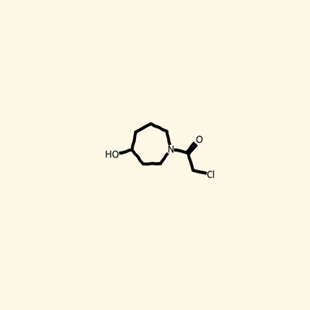 O=C(CCl)N1CCCC(O)CC1